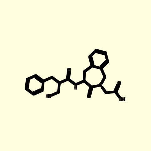 O=C(O)CN1Cc2ccccc2CC(NC(=O)C(CS)Cc2ccccc2)C1=O